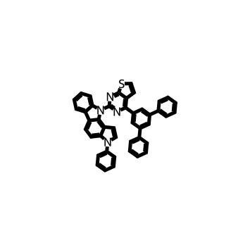 c1ccc(-c2cc(-c3ccccc3)cc(-c3nc(-n4c5ccccc5c5ccc6c(ccn6-c6ccccc6)c54)nc4sccc34)c2)cc1